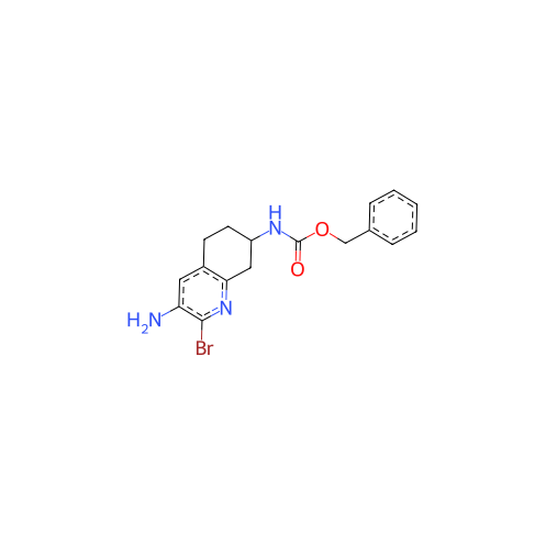 Nc1cc2c(nc1Br)CC(NC(=O)OCc1ccccc1)CC2